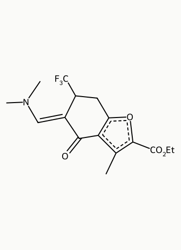 CCOC(=O)c1oc2c(c1C)C(=O)C(=CN(C)C)C(C(F)(F)F)C2